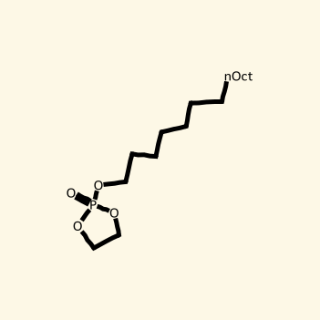 CCCCCCCCCCCCCCCOP1(=O)OCCO1